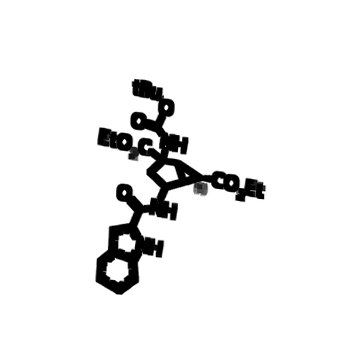 CCOC(=O)[C@H]1C2C(NC(=O)c3cc4ccccc4[nH]3)CC(NC(=O)OC(C)(C)C)(C(=O)OCC)C21